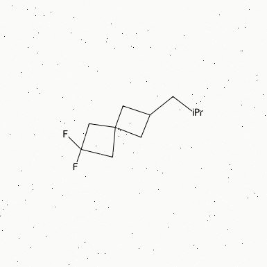 CC(C)CC1CC2(C1)CC(F)(F)C2